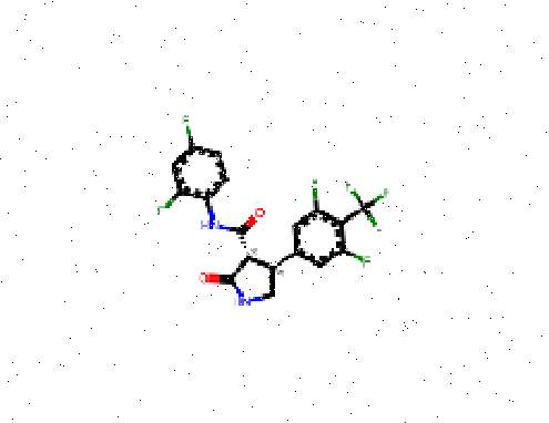 O=C1NC[C@H](c2cc(F)c(C(F)(F)F)c(F)c2)[C@H]1C(=O)Nc1ccc(F)cc1F